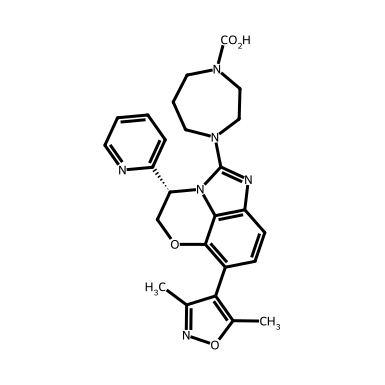 Cc1noc(C)c1-c1ccc2nc(N3CCCN(C(=O)O)CC3)n3c2c1OC[C@@H]3c1ccccn1